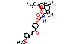 COc1cccc(/C=C/C(=O)c2ccc(OCC(=O)N[C@H]3O[C@@H]4O[C@]5(C)CC[C@H]6[C@H](C)CC[C@@H]([C@H]3C)[C@@]46OO5)cc2)c1